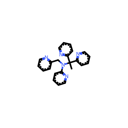 CC(c1ccccn1)(c1ccccn1)N(Cc1ccccn1)c1ccccn1